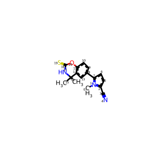 Cn1c(C#N)ccc1-c1ccc2c(c1)C(C)(C)NC(=S)O2